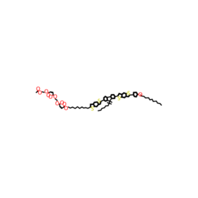 CCCCCCCCCCCOc1ccc(-c2cc3cc4sc(-c5ccc6c(c5)C(C)(C(C)(C)CCCCCC)c5cc(-c7cc8cc9sc(CCCCCCCCCCOC(=O)/C=C\C(=O)OCCOC(=O)/C=C\C(=O)OCCOC(C)=O)cc9cc8s7)ccc5-6)cc4cc3s2)cc1